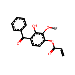 C=CC(=O)Oc1ccc(C(=O)c2ccccc2)c(O)c1OCC